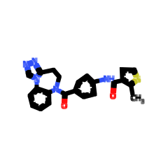 Cc1sccc1C(=O)Nc1ccc(C(=O)N2CCc3nncn3-c3ccccc32)cc1